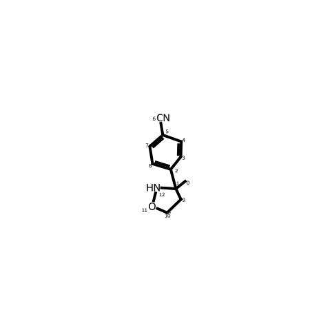 CC1(c2ccc(C#N)cc2)C[CH]ON1